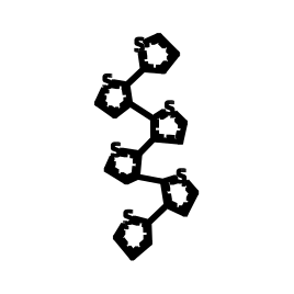 c1csc(-c2ccsc2-c2ccsc2-c2ccsc2-c2ccsc2-c2cccs2)c1